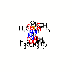 C#Cc1cn(C2S[C@H](c3ccccc3C(=O)OC)[C@H]3OC(C)(C)O[C@@H]23)c2ncnc(N(C(=O)OC(C)(C)C)C(=O)OC(C)(C)C)c12